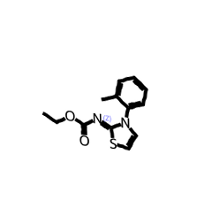 CCOC(=O)/N=c1\sccn1-c1ccccc1C